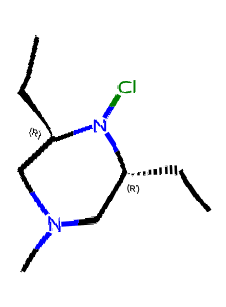 CC[C@@H]1CN(C)C[C@@H](CC)N1Cl